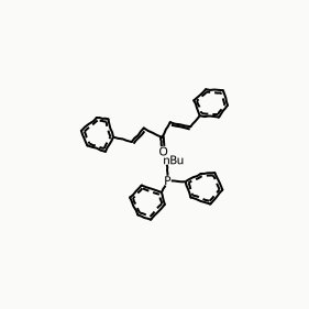 CCCCP(c1ccccc1)c1ccccc1.O=C(C=Cc1ccccc1)C=Cc1ccccc1